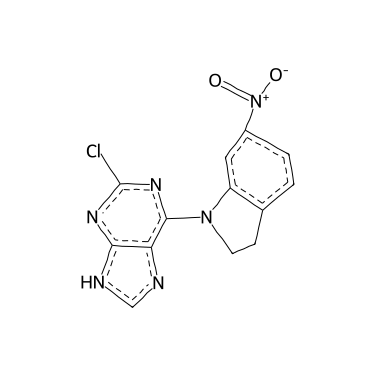 O=[N+]([O-])c1ccc2c(c1)N(c1nc(Cl)nc3[nH]cnc13)CC2